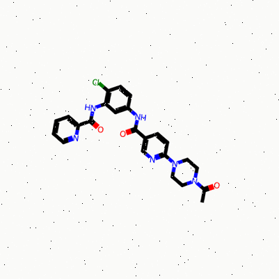 CC(=O)N1CCN(c2ccc(C(=O)Nc3ccc(Cl)c(NC(=O)c4ccccn4)c3)cn2)CC1